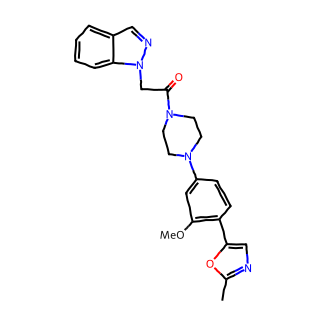 COc1cc(N2CCN(C(=O)Cn3ncc4ccccc43)CC2)ccc1-c1cnc(C)o1